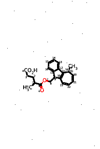 CC(CCC(=O)O)C(=O)OCC1C2=C(c3ccccc31)[C@@H](C)C=CC=C2